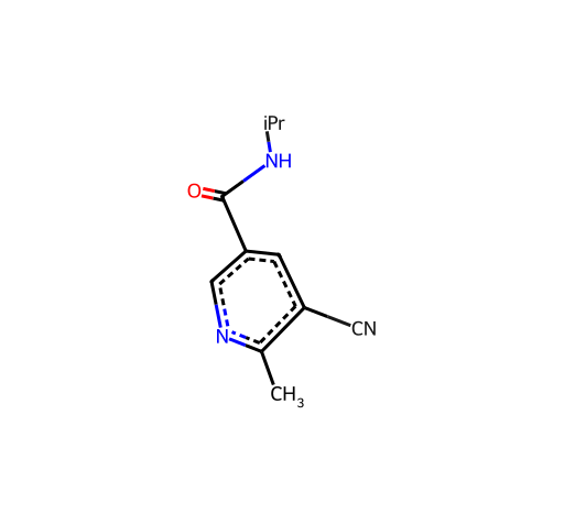 Cc1ncc(C(=O)NC(C)C)cc1C#N